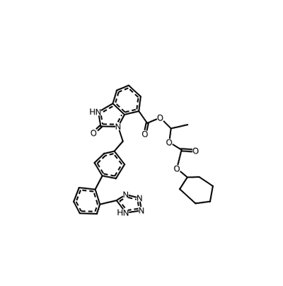 CC(OC(=O)OC1CCCCC1)OC(=O)c1cccc2[nH]c(=O)n(Cc3ccc(-c4ccccc4-c4nnn[nH]4)cc3)c12